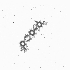 Cc1cc(Br)cc2nc(-c3ccc(N4CCN(c5cccc(C(F)(F)F)c5)CC4)cc3)oc12